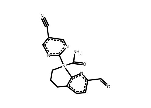 N#Cc1cnc([N+]2(C(N)=O)CCCc3ccc(C=O)nc32)nc1